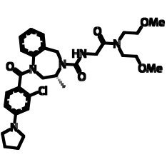 COCCN(CCOC)C(=O)CNC(=O)N1Cc2ccccc2N(C(=O)c2ccc(N3CCCC3)cc2Cl)C[C@H]1C